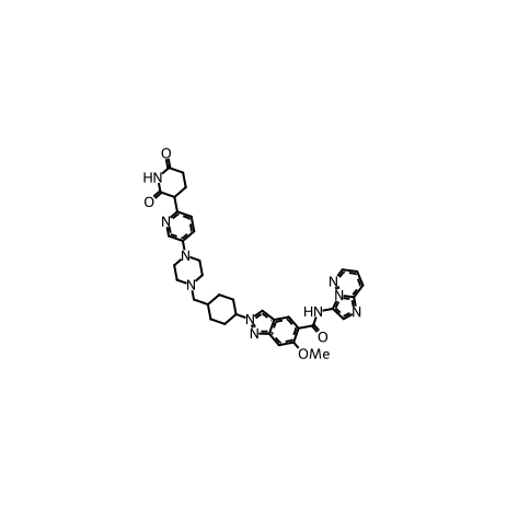 COc1cc2nn(C3CCC(CN4CCN(c5ccc(C6CCC(=O)NC6=O)nc5)CC4)CC3)cc2cc1C(=O)Nc1cnc2cccnn12